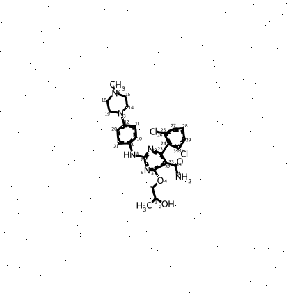 CC(O)COc1nc(Nc2ccc(N3CCN(C)CC3)cc2)nc(-c2c(Cl)cccc2Cl)c1C(N)=O